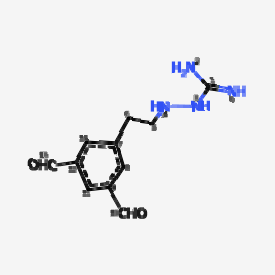 N=C(N)NNCCc1cc(C=O)cc(C=O)c1